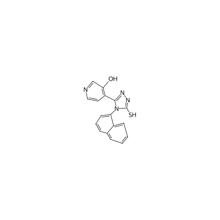 Oc1cnccc1-c1nnc(S)n1-c1cccc2ccccc12